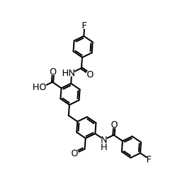 O=Cc1cc(Cc2ccc(NC(=O)c3ccc(F)cc3)c(C(=O)O)c2)ccc1NC(=O)c1ccc(F)cc1